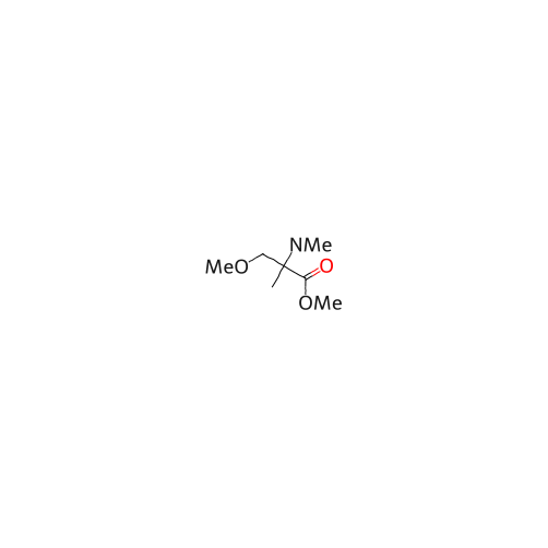 CNC(C)(COC)C(=O)OC